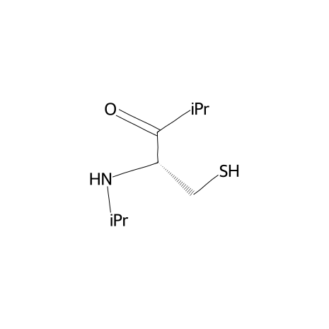 CC(C)N[C@@H](CS)C(=O)C(C)C